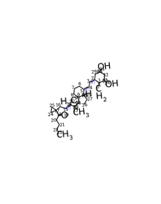 C=C1/C(=C\C=C2/CCC[C@]3(C)[C@@H]([C@H](C)/C=C/CC4(C(=O)CCCC)CC4)CC[C@@H]23)C[C@@H](O)C[C@@H]1O